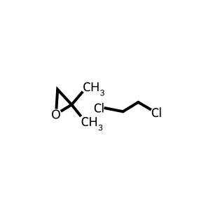 CC1(C)CO1.ClCCCl